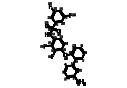 Nc1nccc(-c2cccnc2Oc2ccc(NS(=O)(=O)c3cc(F)cc(F)c3)c(F)c2F)n1